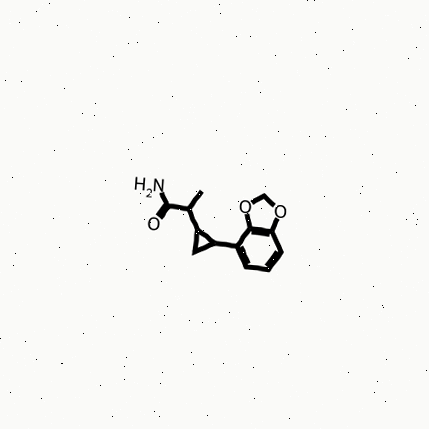 CC(C(N)=O)C1CC1c1cccc2c1OCO2